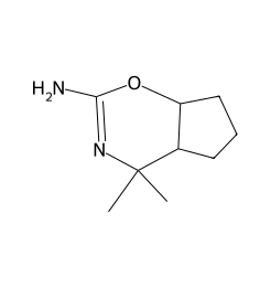 CC1(C)N=C(N)OC2CCCC21